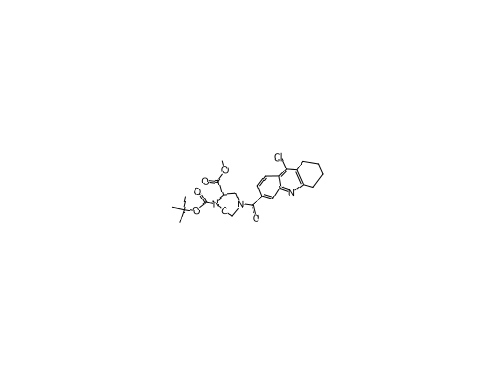 COC(=O)C1CN(C(=O)c2ccc3c(Cl)c4c(nc3c2)CCCC4)CCN1C(=O)OC(C)(C)C